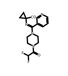 O=C(C(F)F)N1CCN(C(=NC2(C(=O)O)CC2)c2cccnc2)CC1